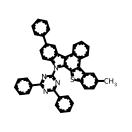 Cc1ccc2sc3c(c2c1)c1ccccc1c1c2cc(-c4ccccc4)ccc2n(-c2nc(-c4ccccc4)nc(-c4ccccc4)n2)c31